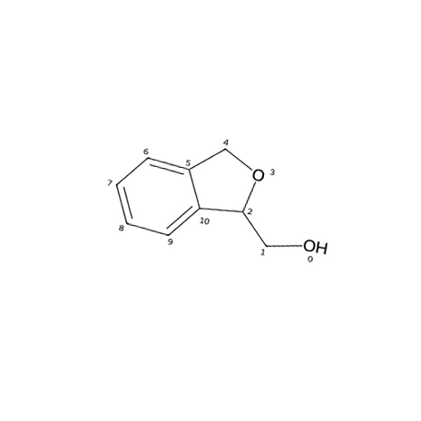 OCC1OCc2ccccc21